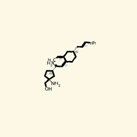 C=C(/C=C1/CC[C@@H](C/C=C/CCC)C/C1=C/C)[C@H]1CC[C@](N)(CO)C1